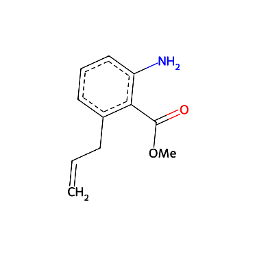 C=CCc1cccc(N)c1C(=O)OC